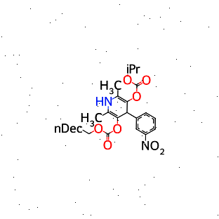 CCCCCCCCCCCOC(=O)OC1=C(C)NC(C)=C(OC(=O)OC(C)C)C1c1cccc([N+](=O)[O-])c1